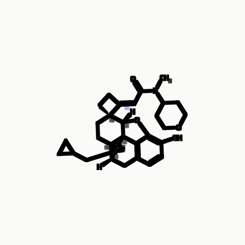 CN(C(=O)/C=C1\CC[C@]12CC[C@@]1(O)[C@H]3Cc4ccc(O)c5c4[C@@]1(CCN3CC1CC1)[C@H]2O5)C1CCOCC1